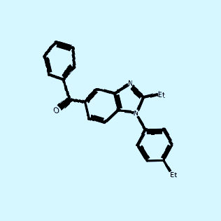 [CH2]Cc1ccc(-n2c(CC)nc3cc(C(=O)c4ccccc4)ccc32)cc1